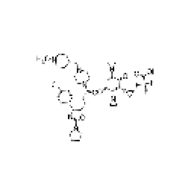 CN1CCC(CN2CCN(C(=O)CCc3oc(N4CCCC4)nc3-c3ccc(Cl)cc3)CC2)CC1.O=C(O)C(F)(F)F.O=C1C=C(N2CC2)C(=O)C(N2CC2)=C1N1CC1